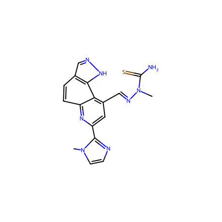 CN(/N=C/c1cc(-c2nccn2C)nc2ccc3cn[nH]c3c12)C(N)=S